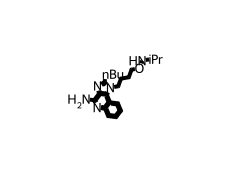 CCCCc1nc2c(N)nc3ccccc3c2n1CCCCONC(C)C